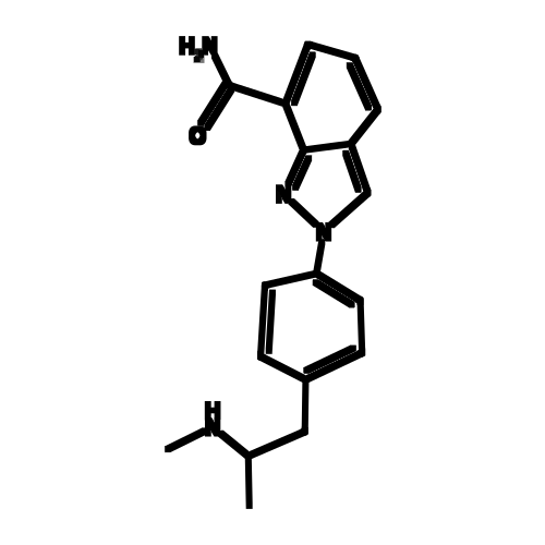 CNC(C)Cc1ccc(-n2cc3cccc(C(N)=O)c3n2)cc1